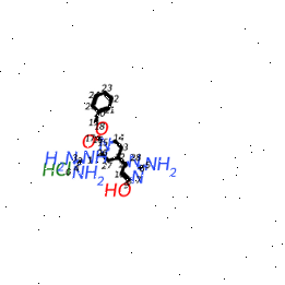 Cl.N=C(N)N.Nc1nc(O)cc(C2CCN(C(=O)OCc3ccccc3)CC2)n1